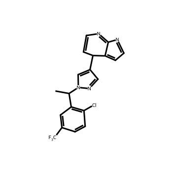 CC(c1cc(C(F)(F)F)ccc1Cl)n1cc(C2C=CN=C3N=CC=C32)cn1